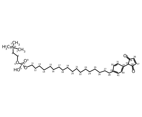 C[N+](C)(C)CCOP(=O)(O)OCCCCCCCCCCCCCCCCCCc1ccc(C2C(=O)C=CC2=O)cc1